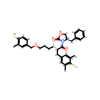 Cc1cc(COCCCC[C@@H](Cc2cc(C)c(F)c(C)c2)C(=O)N2C(=O)OC[C@H]2Cc2ccccc2)ccc1F